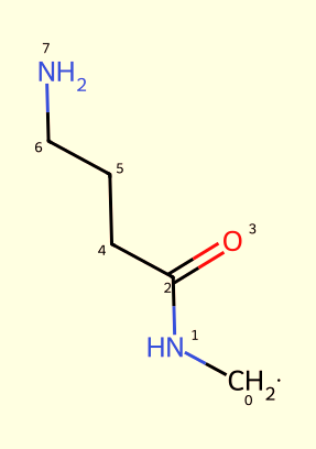 [CH2]NC(=O)CCCN